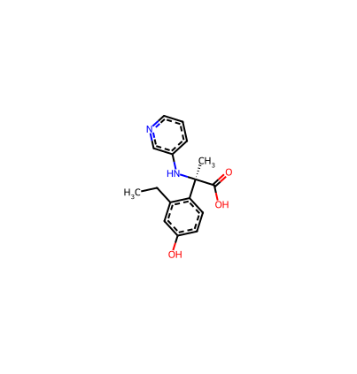 CCc1cc(O)ccc1[C@@](C)(Nc1cccnc1)C(=O)O